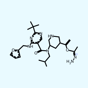 C=C(O/C(C)=N\N)C1CNCC(N(CC(C)C)C(=O)c2cnc(C(C)(C)C)nc2NCc2ccco2)C1